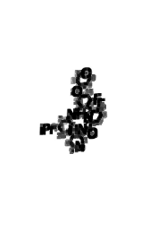 CC(C)[C@@H]1C[C@H](N)C[C@H](c2ccncc2NC(=O)c2ccc(F)c(-c3c(F)cc(OC4CCOCC4)cc3F)n2)C1